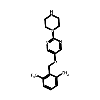 Cc1cccc(C(F)(F)F)c1COc1cnc(N2CCNCC2)nc1